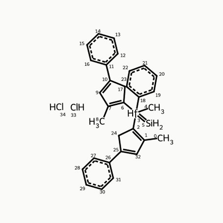 CC1=[C]([Hf]([CH3])(=[SiH2])([C]2=C(C)C=C(c3ccccc3)C2)[c]2ccccc2)CC(c2ccccc2)=C1.Cl.Cl